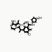 Cc1nc(C(C)c2cc(Cl)c(F)c(C(=O)N[C@H]3CC[C@H](O)C3)c2OC(C)C)n2ccnc(N)c12